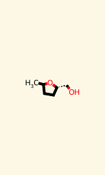 CC1CC[C@@H](CO)O1